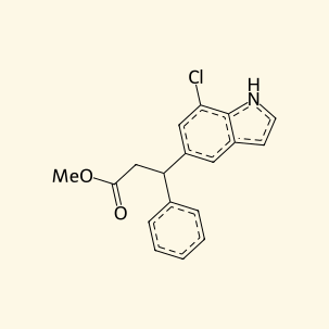 COC(=O)CC(c1ccccc1)c1cc(Cl)c2[nH]ccc2c1